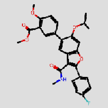 CNC(=O)c1c(-c2ccc(F)cc2)oc2cc(OC(C)C)c(-c3ccc(OC)c(C(=O)OC)c3)cc12